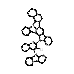 CCc1c(-n2c3ccccc3c3cc4c5ccc6ccccc6c5n5c6ccccc6c(c32)c45)nc2ccccc2c1-n1c2ccccc2c2ccccc21